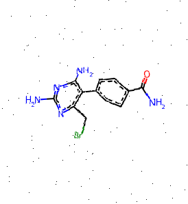 NC(=O)c1ccc(-c2c(N)nc(N)nc2CBr)cc1